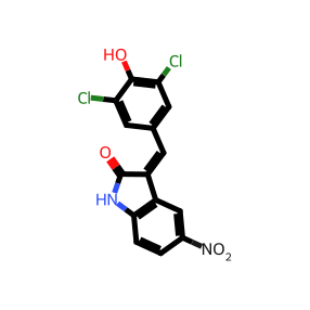 O=C1Nc2ccc([N+](=O)[O-])cc2/C1=C/c1cc(Cl)c(O)c(Cl)c1